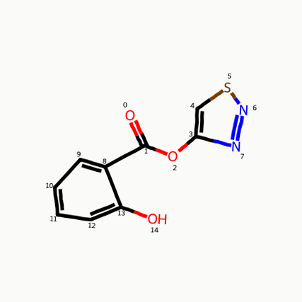 O=C(Oc1csnn1)c1ccccc1O